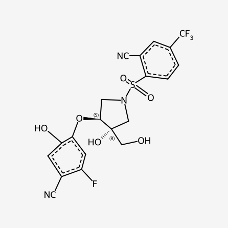 N#Cc1cc(O)c(O[C@H]2CN(S(=O)(=O)c3ccc(C(F)(F)F)cc3C#N)C[C@@]2(O)CO)cc1F